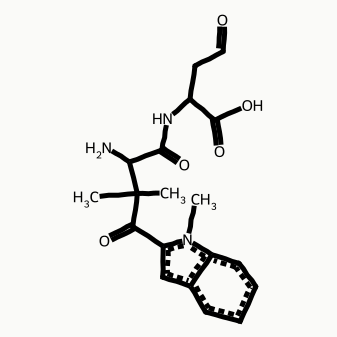 Cn1c(C(=O)C(C)(C)C(N)C(=O)NC(CC=O)C(=O)O)cc2ccccc21